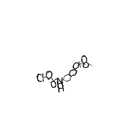 CCOC(=O)C(C)(C)Oc1ccc2c(c1)CC(NCC(O)c1cccc(Cl)c1)CC2